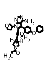 C=CC(=O)N1C[C@@H]2C(C#Cc3c(-c4ccc(Oc5ccccc5)cc4OC)c4c(N)ncnc4n3C3CCOC3)[C@@H]2C1